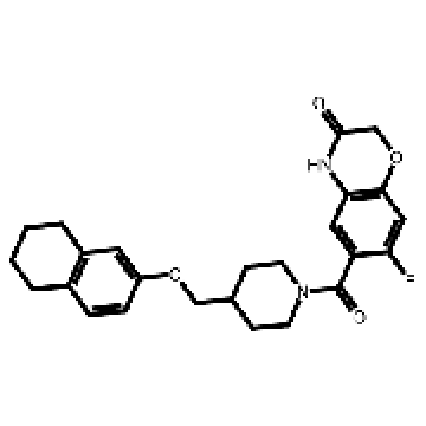 O=C1COc2cc(F)c(C(=O)N3CCC(COc4ccc5c(c4)CCCC5)CC3)cc2N1